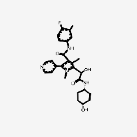 Cc1cc(NC(=O)c2c(C)c(C(O)C(=O)N[C@H]3CC[C@@H](O)CC3)n(C)c2-c2ccncc2)ccc1F